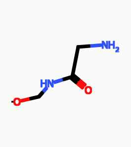 NCC(=O)NC[O]